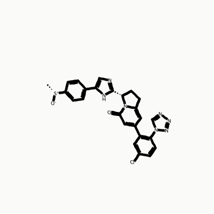 C[S@@+]([O-])c1ccc(-c2cnc([C@@H]3CCc4cc(-c5cc(Cl)ccc5-n5cnnn5)cc(=O)n43)[nH]2)cc1